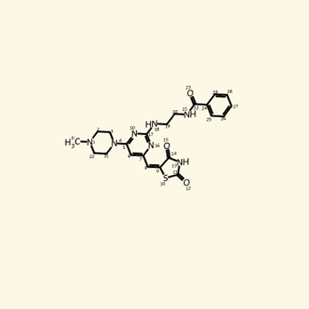 CN1CCN(c2cc(/C=C3/SC(=O)NC3=O)nc(NCCNC(=O)c3ccccc3)n2)CC1